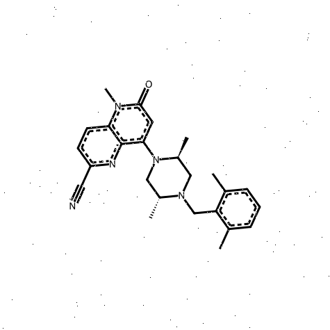 Cc1cccc(C)c1CN1C[C@H](C)N(c2cc(=O)n(C)c3ccc(C#N)nc23)C[C@H]1C